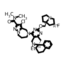 CCN1Cc2c(nc(OC[C@@]34CCCN3C[C@H](F)C4)nc2N2CCCn3nc(C(=O)N(C)C)c(Cl)c3C2)C[C@]12CCCc1ccccc12